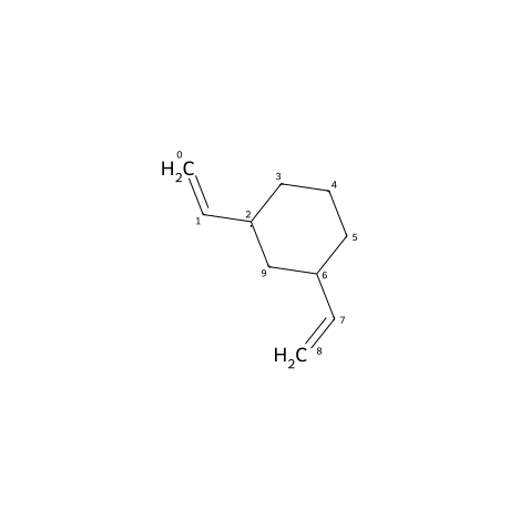 C=C[C]1CCCC(C=C)C1